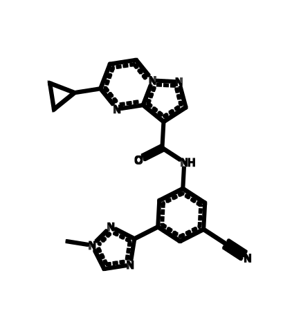 Cn1cnc(-c2cc(C#N)cc(NC(=O)c3cnn4ccc(C5CC5)nc34)c2)n1